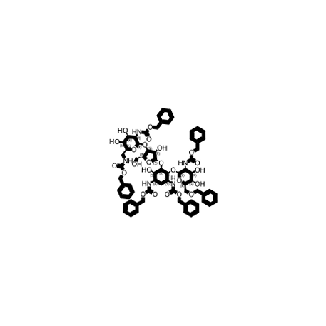 O=C(NC[C@@H]1O[C@H](O[C@H]2[C@@H](O)[C@H](O[C@@H]3[C@@H](O)[C@H](NC(=O)OCc4ccccc4)C[C@H](NC(=O)OCc4ccccc4)[C@H]3O[C@H]3O[C@H](COCc4ccccc4)[C@@H](O)[C@H](O)[C@H]3NC(=O)OCc3ccccc3)O[C@@H]2CO)[C@H](NC(=O)OCc2ccccc2)[C@@H](O)[C@@H]1O)OCc1ccccc1